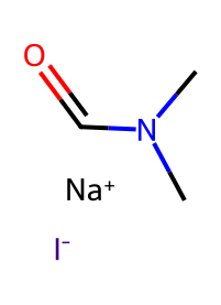 CN(C)C=O.[I-].[Na+]